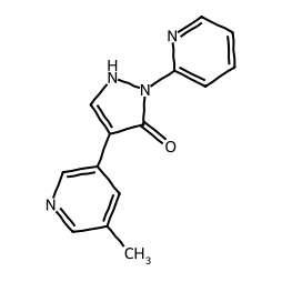 Cc1cncc(-c2c[nH]n(-c3ccccn3)c2=O)c1